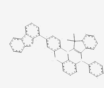 CC1(C)C2=C(c3ccccc31)N(c1ccccc1)c1cccc3c1B2c1ccc(-c2cccc4c2oc2ccccc24)cc1S3